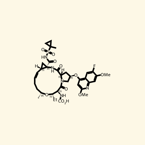 CC[C@@H]1O[C@H](C)CCC=C[C@@H]2C[C@@]2(C(=O)NS(=O)(=O)C2(C)CC2)NC(=O)[C@@H]2C[C@@H](Oc3cc(OC)nc4cc(OC)c(F)cc34)CN2C(=O)[C@H]1NC(=O)O